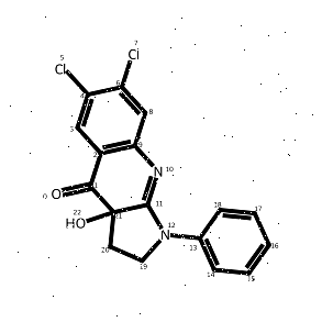 O=C1c2cc(Cl)c(Cl)cc2N=C2N(c3ccccc3)CCC12O